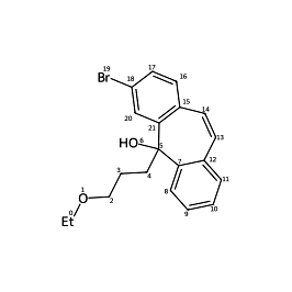 CCOCCCC1(O)c2ccccc2C=Cc2ccc(Br)cc21